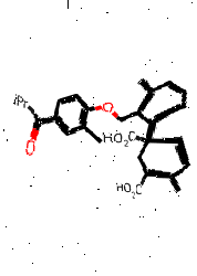 CC1=C(C(=O)O)CC(C(=O)O)(c2cccc(C)c2COc2ccc(C(=O)C(C)C)cc2C)C=C1